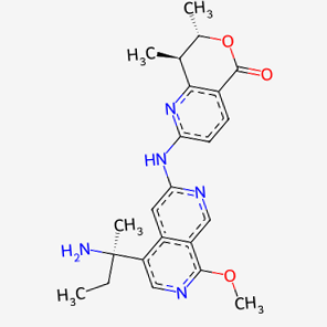 CC[C@@](C)(N)c1cnc(OC)c2cnc(Nc3ccc4c(n3)[C@@H](C)[C@H](C)OC4=O)cc12